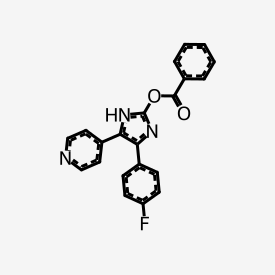 O=C(Oc1nc(-c2ccc(F)cc2)c(-c2ccncc2)[nH]1)c1ccccc1